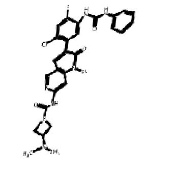 CCn1c(=O)c(-c2cc(NC(=O)Nc3ccccc3)c(F)cc2Cl)cc2cnc(NC(=O)N3CC(N(C)C)C3)cc21